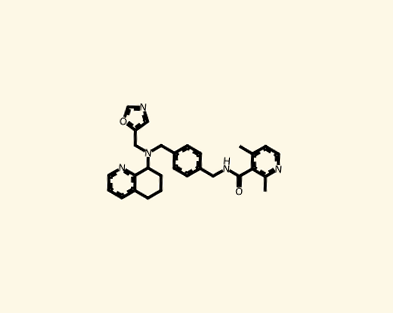 Cc1ccnc(C)c1C(=O)NCc1ccc(CN(Cc2cnco2)C2CCCc3cccnc32)cc1